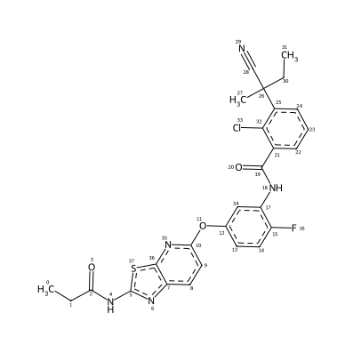 CCC(=O)Nc1nc2ccc(Oc3ccc(F)c(NC(=O)c4cccc(C(C)(C#N)CC)c4Cl)c3)nc2s1